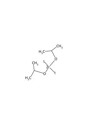 CC(C)[O][Zr]([I])([I])[O]C(C)C